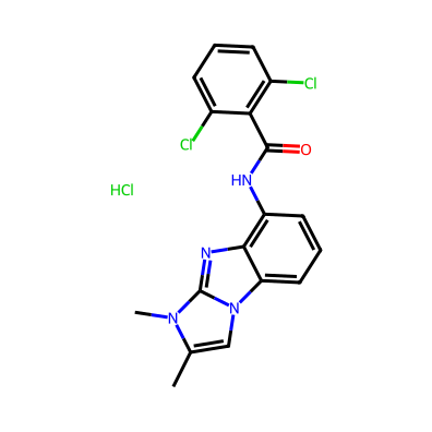 Cc1cn2c3cccc(NC(=O)c4c(Cl)cccc4Cl)c3nc2n1C.Cl